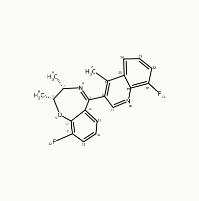 Cc1c(C2=N[C@@H](C)[C@@H](C)Oc3c(F)cccc32)cnc2c(F)cccc12